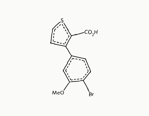 COc1cc(-c2ccsc2C(=O)O)ccc1Br